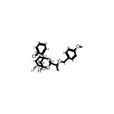 COc1ccc(COC(C)C2=N[C@@]3(c4ccccc4Cl)CC[C@H](I)[C@@H](O2)C3=O)cc1